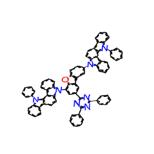 c1ccc(-c2nc(-c3ccccc3)nc(-c3cc(-n4c5ccccc5c5c4ccc4c6ccccc6n(-c6ccccc6)c45)c4oc5ccc(-n6c7ccccc7c7c6ccc6c8ccccc8n(-c8ccccc8)c67)cc5c4c3)n2)cc1